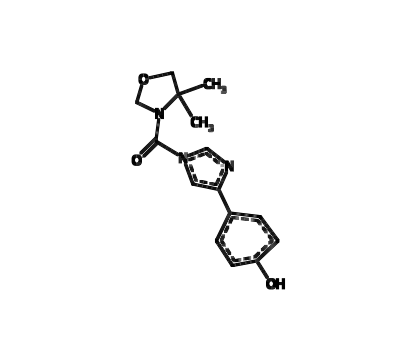 CC1(C)COCN1C(=O)n1cnc(-c2ccc(O)cc2)c1